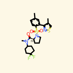 Cc1ccc(S(=O)(=O)N2CCC[C@H]2C(=O)N(C)C2CCC(F)(F)CC2)c(-c2nscc2C)c1